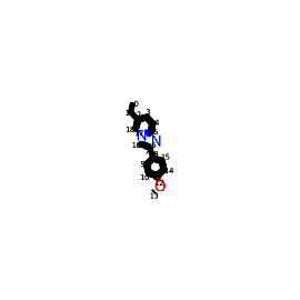 CCc1ccc2nc(-c3ccc(OC)cc3)cn2c1